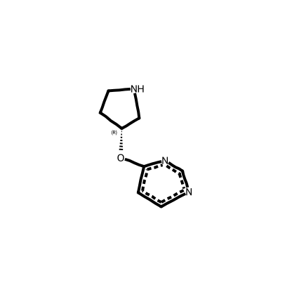 c1cc(O[C@@H]2CCNC2)ncn1